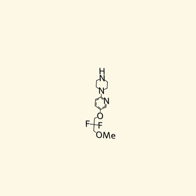 COCC(F)(F)COc1ccc(N2CCNCC2)nc1